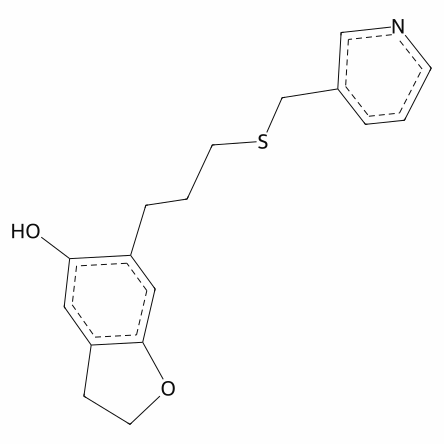 Oc1cc2c(cc1CCCSCc1cccnc1)OCC2